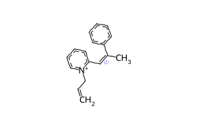 C=CC[n+]1ccccc1/C=C(/C)c1ccccc1